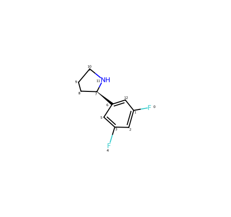 Fc1cc(F)cc([C@H]2CC[CH]N2)c1